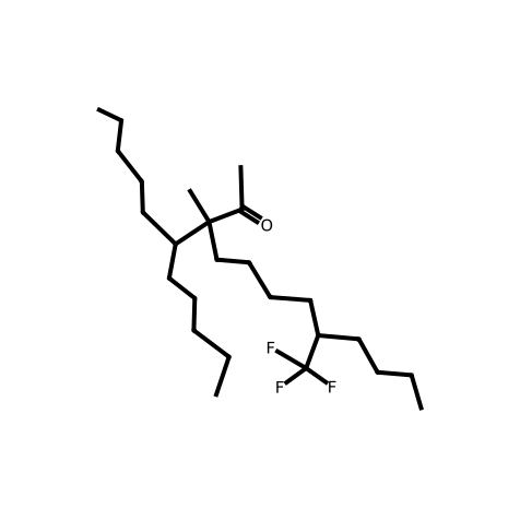 CCCCCC(CCCCC)C(C)(CCCCC(CCCC)C(F)(F)F)C(C)=O